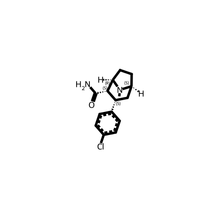 CN1[C@H]2CC[C@@H]1[C@@H](C(N)=O)[C@@H](c1ccc(Cl)cc1)C2